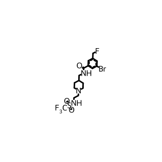 O=C(NCC1CCN(CCNS(=O)(=O)C(F)(F)F)CC1)c1cc(Br)cc(CF)c1